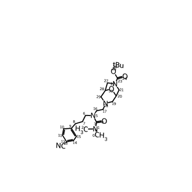 CN(C)C(=O)N(CCCc1ccc(C#N)cc1)CCN1CC2CN(C(=O)OC(C)(C)C)CC(C1)O2